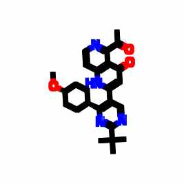 CO[C@H]1CC[C@@H](c2nc(C(C)(C)C)ncc2-c2cc(=O)c3c(C(C)=O)nccc3[nH]2)CC1